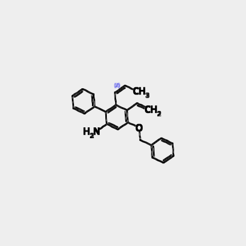 C=Cc1c(OCc2ccccc2)cc(N)c(-c2ccccc2)c1/C=C\C